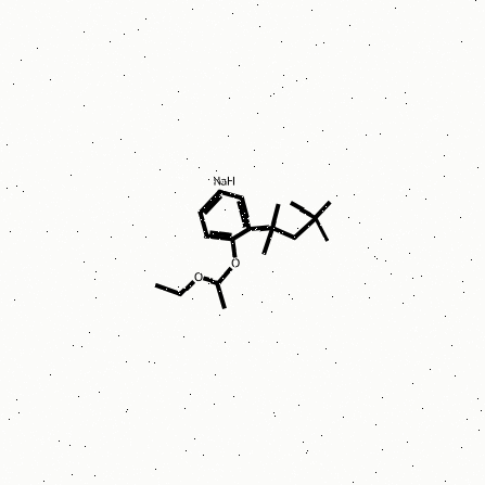 CCOC(C)Oc1ccccc1C(C)(C)CC(C)(C)C.[NaH]